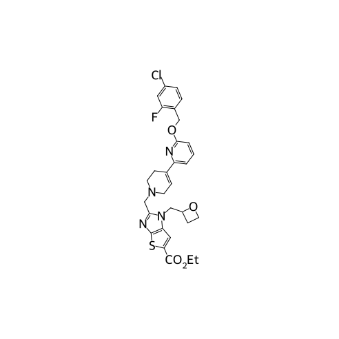 CCOC(=O)c1cc2c(nc(CN3CC=C(c4cccc(OCc5ccc(Cl)cc5F)n4)CC3)n2CC2CCO2)s1